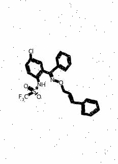 O=S(=O)(Nc1ccc(Cl)cc1/C(=N/OC/C=C/c1ccccc1)c1ccccc1)C(F)(F)F